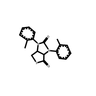 Cc1ccccc1N1C(=O)N(c2ccccc2C)C2C(=O)SCC21